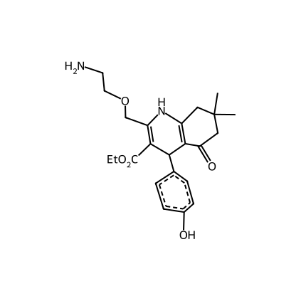 CCOC(=O)C1=C(COCCN)NC2=C(C(=O)CC(C)(C)C2)C1c1ccc(O)cc1